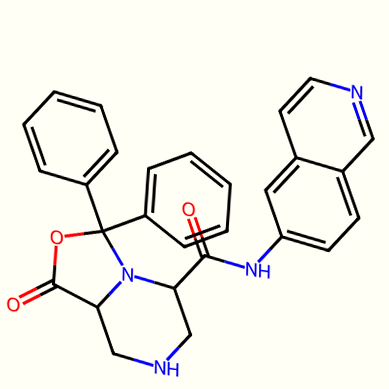 O=C(Nc1ccc2cnccc2c1)C1CNCC2C(=O)OC(c3ccccc3)(c3ccccc3)N12